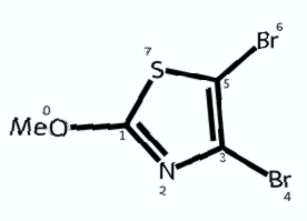 COc1nc(Br)c(Br)s1